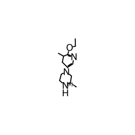 CCOC1=NC=C(N2CCN[C@H](C)C2)CC1C